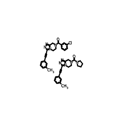 Cc1cccc(C#Cc2nnc3n2CCN(C(=O)N2CCCC2)C3)c1.Cc1cccc(C#Cc2nnc3n2CCN(C(=O)c2cccc(Cl)c2)C3)c1